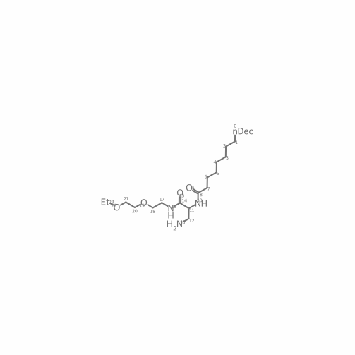 CCCCCCCCCCCCCCCCCC(=O)NC(CN)C(=O)NCCOCCOCC